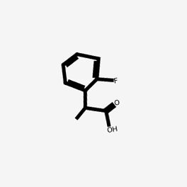 CC(C(=O)O)c1ccccc1F